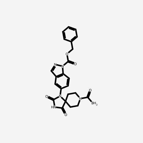 BC(=O)N1CCC2(CC1)C(=O)NC(=O)N2c1ccc2c(cnn2C(=O)OCc2ccccc2)c1